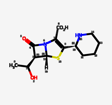 CC(O)[C@H]1C(=O)N2C(C(=O)O)=C([C@H]3CCCCN3)S[C@H]12